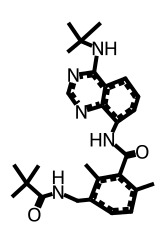 Cc1ccc(CNC(=O)C(C)(C)C)c(C)c1C(=O)Nc1cccc2c(NC(C)(C)C)ncnc12